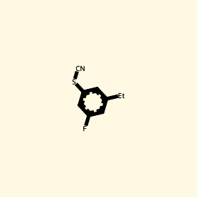 CCc1cc(F)cc(SC#N)c1